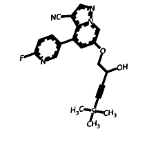 C[Si](C)(C)C#CC(O)COc1cc(-c2ccc(F)nc2)c2c(C#N)cnn2c1